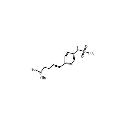 CCCCN(CC/C=C/c1ccc(NS(C)(=O)=O)cc1)CCCC